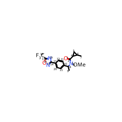 CON(C(=O)C1CC1C)C(C)c1ccc(-c2noc(C(F)(F)F)n2)cc1